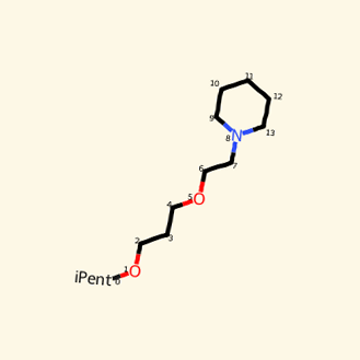 CCCC(C)OCCCOCCN1CCCCC1